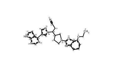 CCOc1cccc2nc(N3CCC(C(CC#N)n4cc(-c5ncnc6[nH]ccc56)cn4)C3)oc12